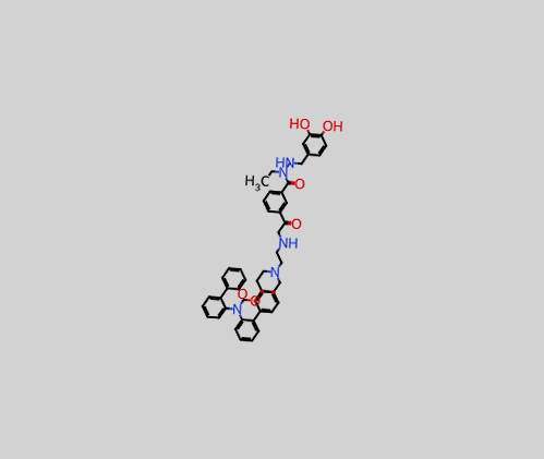 CCN(NCc1ccc(O)c(O)c1)C(=O)c1cccc(C(=O)CNCCN2CCC(OC(=O)N(c3ccccc3-c3ccccc3)c3ccccc3-c3ccccc3)CC2)c1